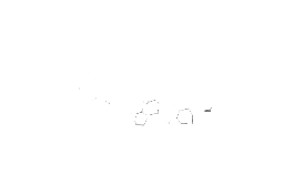 CC(F)(F)C(OC(=O)N1CCC(n2ccc3c(Nc4ccc(C#N)cc4Cl)ncnc32)CC1)C(F)(F)F